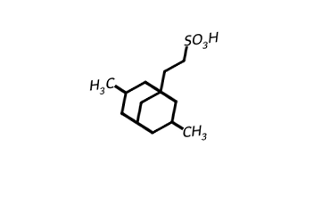 CC1CC2CC(C)CC(CCS(=O)(=O)O)(C1)C2